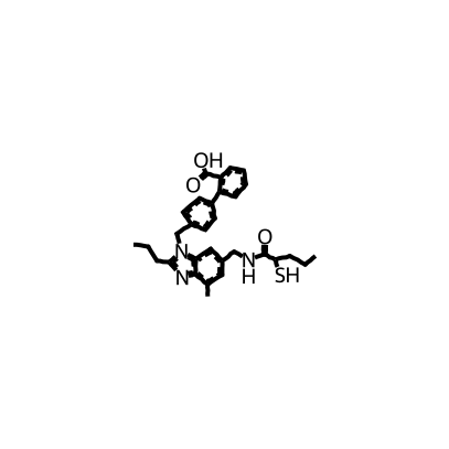 CCCc1nc2c(C)cc(CNC(=O)C(S)CCC)cc2n1Cc1ccc(-c2ccccc2C(=O)O)cc1